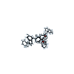 Cc1cc(-c2ncc3c(N4CC5CCC(C4)N5C(=O)OC(C)(C)C)nc(OC[C@@]45CCCN4C[C@H](F)C5)nc3c2F)c2cnn(C3CCCCO3)c2c1